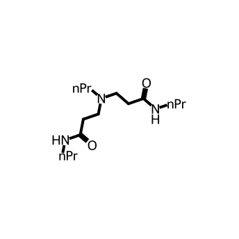 CCCNC(=O)CCN(CCC)CCC(=O)NCCC